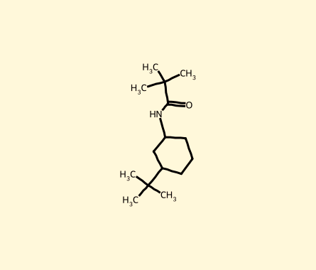 CC(C)(C)C(=O)NC1CCCC(C(C)(C)C)C1